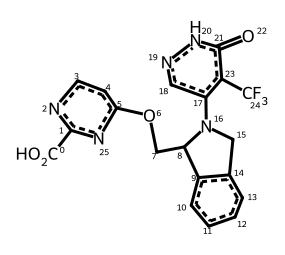 O=C(O)c1nccc(OCC2c3ccccc3CN2c2cn[nH]c(=O)c2C(F)(F)F)n1